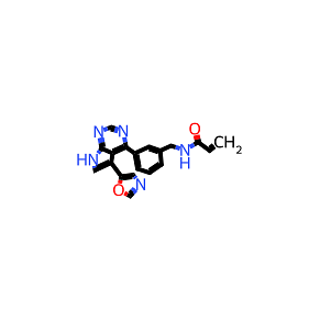 C=CC(=O)NCc1cccc(-c2ncnc3[nH]cc(-c4cnco4)c23)c1